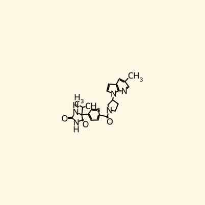 Cc1cnc2c(ccn2C2CCN(C(=O)c3ccc(C4(C(C)C)NC(=O)NC4=O)cc3)C2)c1